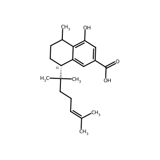 CC(C)=CCCC(C)(C)[C@@H]1CCC(C)c2c(O)cc(C(=O)O)cc21